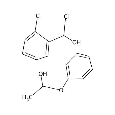 CC(O)Oc1ccccc1.OC(Cl)c1ccccc1Cl